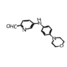 O=Cc1ccc(Nc2ccc(N3CCOCC3)cc2)cn1